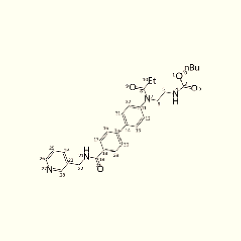 CCCCOC(=O)NCCN(C(=O)CC)c1ccc(-c2ccc(C(=O)NCc3cccnc3)cc2)cc1